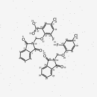 O=C1c2ccccc2C(=O)N1COc1c(F)cc(Cl)cc1[N+](=O)[O-].O=C1c2ccccc2C(=O)N1COc1ccc(Cl)cc1F